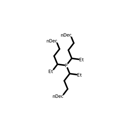 CCCCCCCCCCCCC(CC)P(C(CC)CCCCCCCCCCCC)C(CC)CCCCCCCCCCCC